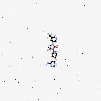 Nc1cc(OC2CC3CC2CC3N2C(=O)CN(c3cncc(C(F)(F)F)c3)C2=O)ncn1